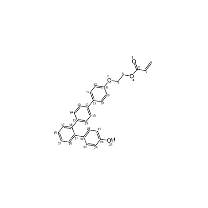 C=CC(=O)OCCOc1ccc(-c2ccc(-c3ccccc3-c3ccc(O)cc3)cc2)cc1